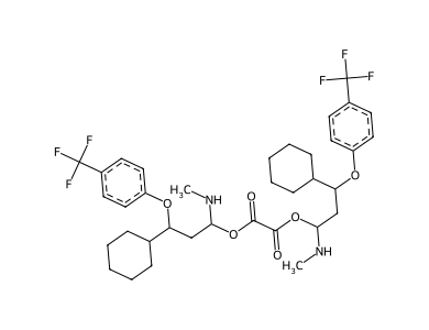 CNC(CC(Oc1ccc(C(F)(F)F)cc1)C1CCCCC1)OC(=O)C(=O)OC(CC(Oc1ccc(C(F)(F)F)cc1)C1CCCCC1)NC